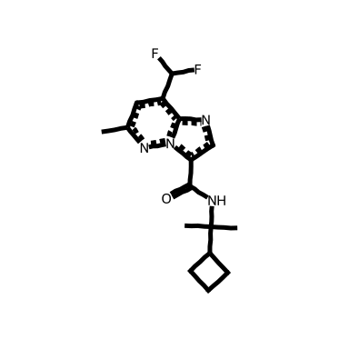 Cc1cc(C(F)F)c2ncc(C(=O)NC(C)(C)C3CCC3)n2n1